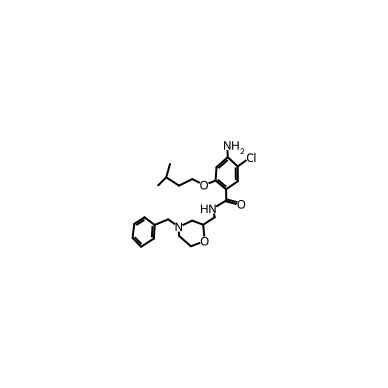 CC(C)CCOc1cc(N)c(Cl)cc1C(=O)NCC1CN(Cc2ccccc2)CCO1